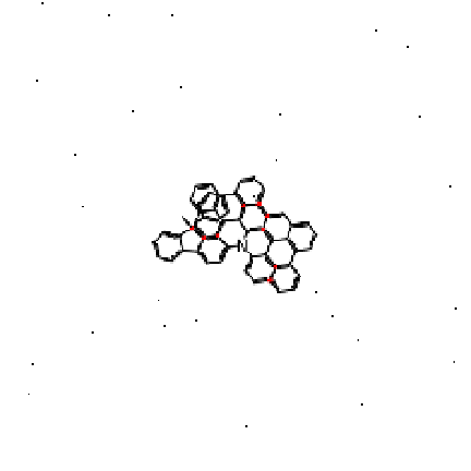 CC1(c2ccccc2)c2ccccc2-c2ccc(N(c3ccccc3-c3cccc4cccc(-c5ccccc5)c34)c3ccccc3-c3cccc4cccc(-c5ccccc5)c34)cc21